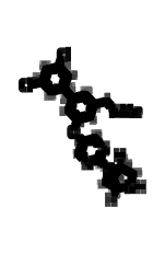 CNCc1cc(Oc2cnc(N3C[C@@H]4C[C@H]3CN4)nc2)cc(-c2cc(Cl)cc(Cl)c2)c1